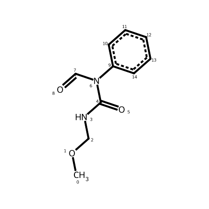 COCNC(=O)N([C]=O)c1ccccc1